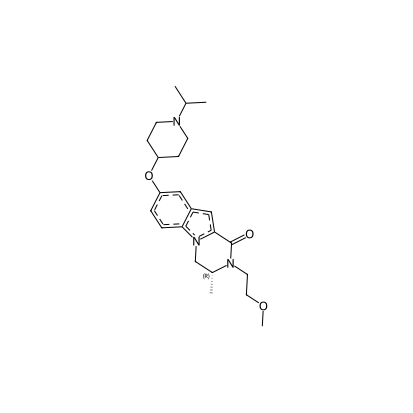 COCCN1C(=O)c2cc3cc(OC4CCN(C(C)C)CC4)ccc3n2C[C@H]1C